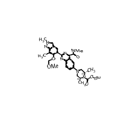 CNC(=O)c1nc(-c2cc3cn(C)nc3c(C)c2OCOC)nc2ccc(N3C[C@H](C)N(C(=O)OC(C)(C)C)[C@@H](C)C3)cc12